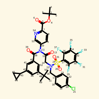 CC(C)(C)OC(=O)c1ccc(N(C(=O)CN(Cc2ccc(Cl)cc2)S(=O)(=O)c2c(F)c(F)c(F)c(F)c2F)C(=O)c2cc(C3CC3)cc(C(C)(C)C)c2)cn1